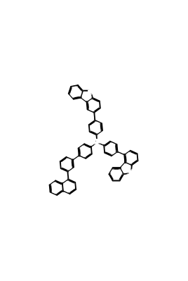 c1cc(-c2ccc(N(c3ccc(-c4ccc5sc6ccccc6c5c4)cc3)c3ccc(-c4cccc5oc6ccccc6c45)cc3)cc2)cc(-c2cccc3ccccc23)c1